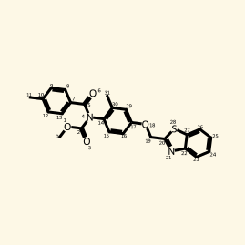 COC(=O)N(C(=O)c1ccc(C)cc1)c1ccc(OCc2nc3ccccc3s2)cc1C